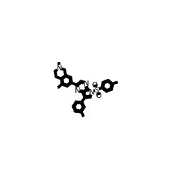 Cc1[c]ccc(-c2cn(S(=O)(=O)c3ccc(C)cc3)c3ncc(-c4cc(C)c5c(c4)CN(C)CC5)nc23)c1